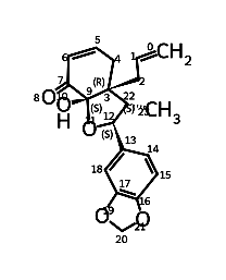 C=CC[C@]12CC=CC(=O)[C@@]1(O)O[C@H](c1ccc3c(c1)OCO3)[C@H]2C